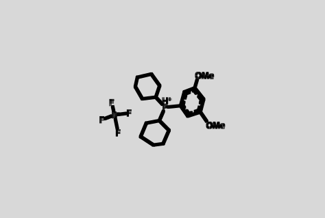 COc1cc(OC)cc([PH+](C2CCCCC2)C2CCCCC2)c1.F[B-](F)(F)F